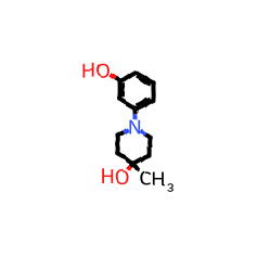 CC1(O)CCN(c2cccc(O)c2)CC1